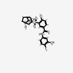 C[C@]1(O)C2CC[C@@H]1C[C@@H](S(=O)(=O)c1cc(C(=O)Nc3ccc(F)c(C#N)c3)ccc1Cl)C2